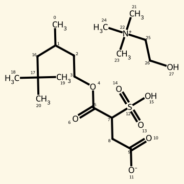 CC(CCOC(=O)C(CC(=O)[O-])S(=O)(=O)O)CC(C)(C)C.C[N+](C)(C)CCO